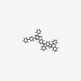 c1ccc(C2=NC(c3ccc(-c4ccccc4)cc3)=NC(c3ccc(-n4c5ccccc5c5c6oc(-c7ccccc7)c(-c7ccccc7)c6ccc54)cc3)N2)cc1